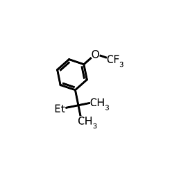 CCC(C)(C)c1cccc(OC(F)(F)F)c1